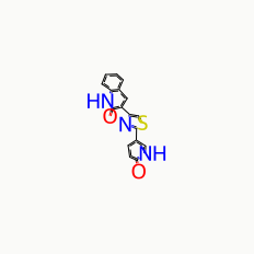 O=c1ccc(-c2nc(-c3cc4ccccc4[nH]c3=O)cs2)c[nH]1